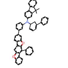 CC1(C)c2ccccc2-c2ccc(N(c3cccc(-c4ccc5c(c4)oc4c(-c6ccccc6)c6c(cc45)oc4ccccc46)c3)C3C=CC=C(c4ccccc4)C3)cc21